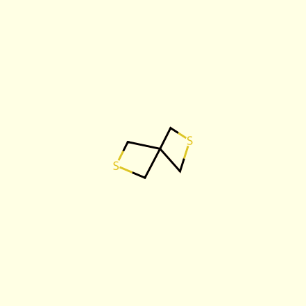 C1SCC12CSC2